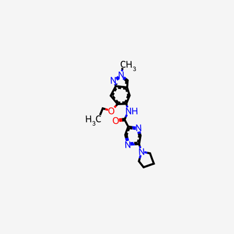 CCOc1cc2nn(C)cc2cc1NC(=O)c1cnc(N2CCCC2)cn1